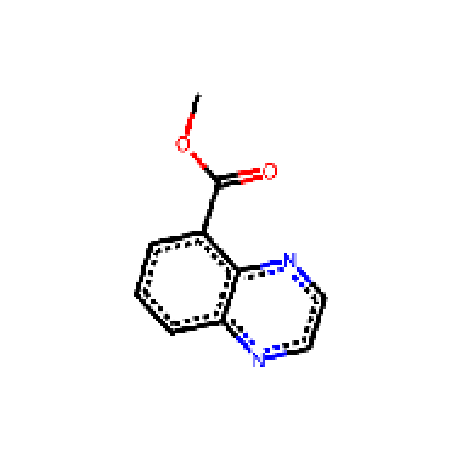 COC(=O)c1cccc2nccnc12